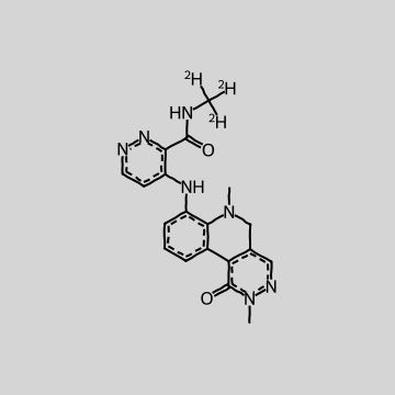 [2H]C([2H])([2H])NC(=O)c1nnccc1Nc1cccc2c1N(C)Cc1cnn(C)c(=O)c1-2